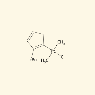 CC(C)(C)C1=[C]([Pt]([CH3])([CH3])[CH3])CC=C1